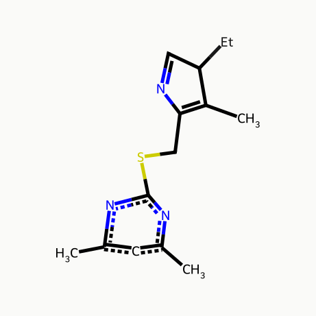 CCC1C=NC(CSc2nc(C)cc(C)n2)=C1C